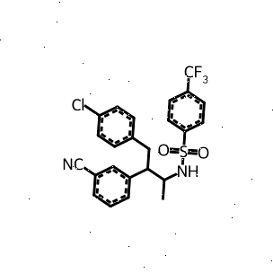 CC(NS(=O)(=O)c1ccc(C(F)(F)F)cc1)C(Cc1ccc(Cl)cc1)c1cccc(C#N)c1